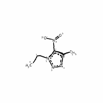 CCn1nnc(C)c1[N+](=O)[O-]